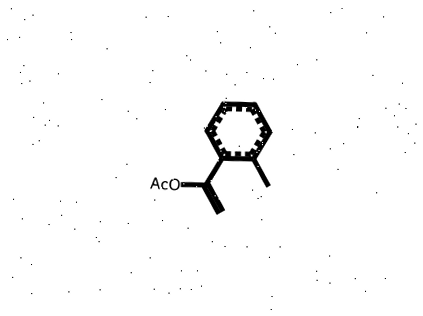 C=C(OC(C)=O)c1ccccc1C